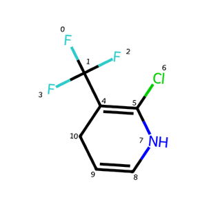 FC(F)(F)C1=C(Cl)NC=CC1